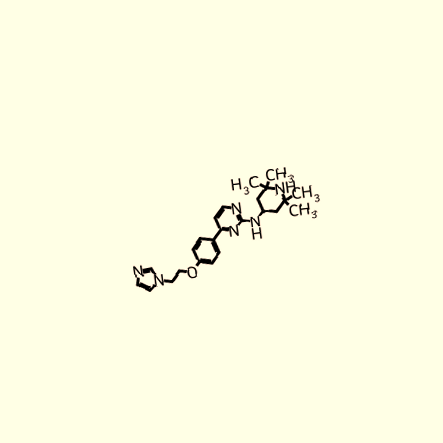 CC1(C)CC(Nc2nccc(-c3ccc(OCCn4ccnc4)cc3)n2)CC(C)(C)N1